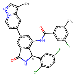 N#Cc1cnn2ccc(-c3cc(NC(=O)c4cc(F)cc(C(F)(F)F)c4)c4c(c3)C(=O)N[C@@H]4c3cc(F)ccc3Cl)cc12